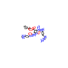 CC(C)(C)OC(=O)c1cc(NC(=O)Nc2ccc(C3=NCCN3)cc2)cc(NC(=O)Nc2ccc(C3=NCCN3)cc2)c1